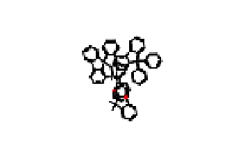 CC1(C)c2ccccc2-c2ccc(N(c3ccc4c(c3)C(c3ccccc3)(c3ccccc3)c3ccccc3-4)c3cccc4c3C3(c5ccccc5-c5ccc(-c6ccccc6)cc53)c3ccccc3-4)cc21